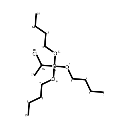 CCCCO[Si](OCCCC)(OCCCC)C(C)Cl